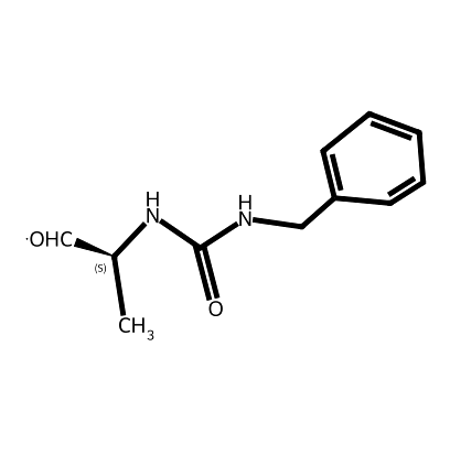 C[C@@H]([C]=O)NC(=O)NCc1ccccc1